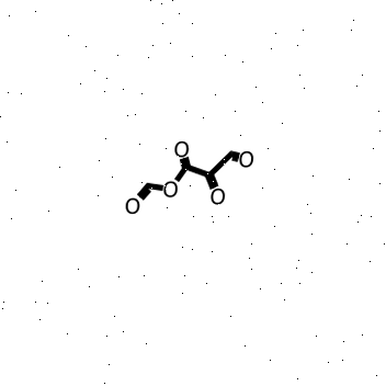 O=COC(=O)C(=O)C=O